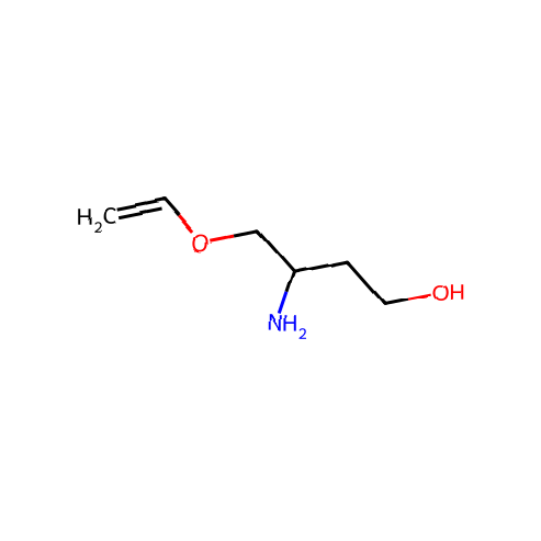 C=COCC(N)CCO